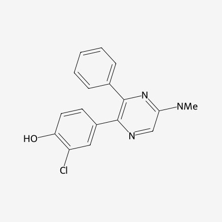 CNc1cnc(-c2ccc(O)c(Cl)c2)c(-c2ccccc2)n1